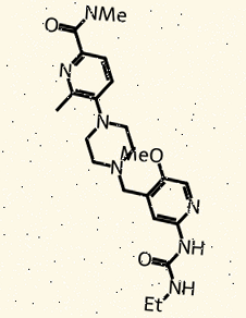 CCNC(=O)Nc1cc(CN2CCN(c3ccc(C(=O)NC)nc3C)CC2)c(OC)cn1